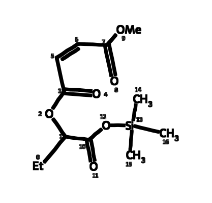 CCC(OC(=O)/C=C\C(=O)OC)C(=O)O[Si](C)(C)C